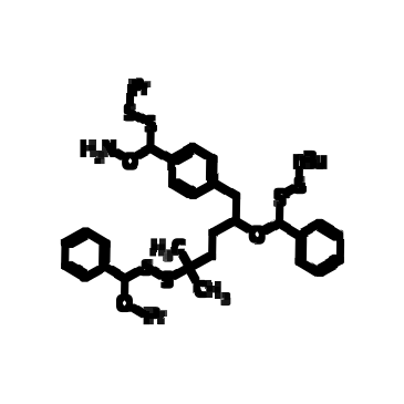 CCCCSSC(OC(CCC(C)(C)SSC(OC(C)C)c1ccccc1)Cc1ccc(C(ON)SSC(C)C)cc1)c1ccccc1